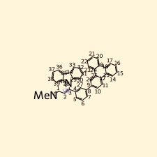 CNC/C=C(/c1cccc(-c2ccc3c4ccccc4c4ccccc4c3c2)c1)n1c2ccccc2c2ccccc21